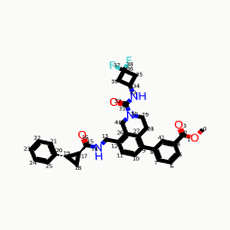 COC(=O)c1cccc(-c2ccc(CNC(=O)[C@H]3C[C@@H]3c3ccccc3)c3c2CCN(C(=O)NC2CC(F)(F)C2)C3)c1